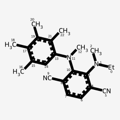 CCN(C)c1c(C#N)ccc(C#N)c1N(C)c1cc(C)c(C)c(C)c1C